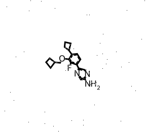 Nc1cnc(-c2ccc(C3CCC3)c(OCC3CCC3)c2F)cn1